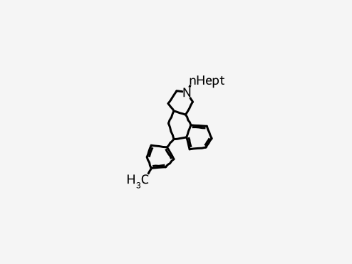 CCCCCCCN1CCC2CC(c3ccc(C)cc3)c3ccccc3C2C1